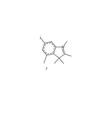 CC1=[N+](C)c2cc(I)cc(I)c2C1(C)C.[I-]